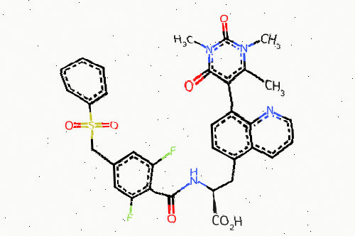 Cc1c(-c2ccc(C[C@H](NC(=O)c3c(F)cc(CS(=O)(=O)c4ccccc4)cc3F)C(=O)O)c3cccnc23)c(=O)n(C)c(=O)n1C